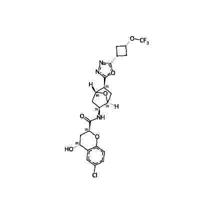 O=C(N[C@H]1C[C@H]2O[C@H]1C[C@@H]2c1nnc([C@H]2C[C@@H](OC(F)(F)F)C2)o1)[C@@H]1C[C@@H](O)c2cc(Cl)ccc2O1